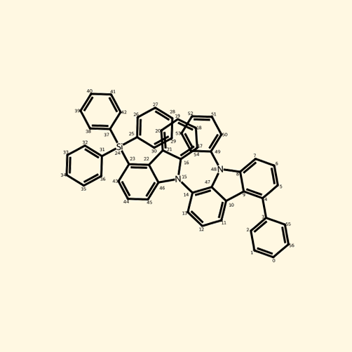 c1ccc(-c2cccc3c2c2cccc(-n4c5ccccc5c5c([Si](c6ccccc6)(c6ccccc6)c6ccccc6)cccc54)c2n3-c2ccccc2)cc1